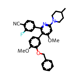 COc1ccc(-c2c(OC)cc(N3CCC(C)CC3)nc2-c2ccc(C#N)c(F)c2)cc1OCc1ccccc1